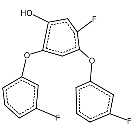 Oc1cc(F)c(Oc2cccc(F)c2)cc1Oc1cccc(F)c1